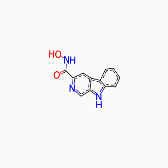 O=C(NO)c1cc2c(cn1)[nH]c1ccccc12